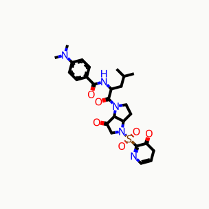 CC(C)CC(NC(=O)c1ccc(N(C)C)cc1)C(=O)N1CCC2C1C(=O)CN2S(=O)(=O)C1=NC=CCC1=O